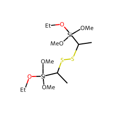 CCO[Si](OC)(OC)C(C)SSC(C)[Si](OC)(OC)OCC